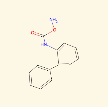 NOC(=O)Nc1ccccc1-c1ccccc1